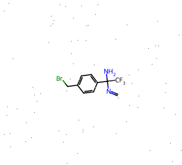 C=NC(N)(c1ccc(CBr)cc1)C(F)(F)F